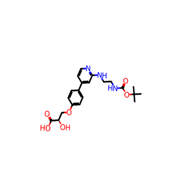 CC(C)(C)OC(=O)NCCNc1cc(-c2ccc(OC[C@@H](O)C(=O)O)cc2)ccn1